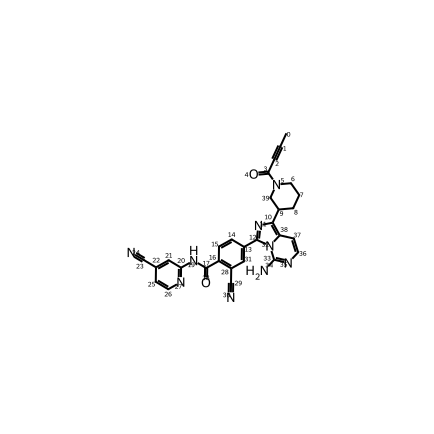 CC#CC(=O)N1CCCC(c2nc(-c3ccc(C(=O)Nc4cc(C#N)ccn4)c(C#N)c3)n3c(N)nccc23)C1